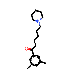 Cc1cc(C)cc(C(=O)CCCCCN2CC[CH]CC2)c1